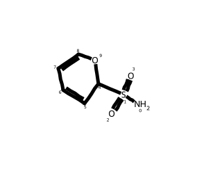 NS(=O)(=O)C1C=CC=CO1